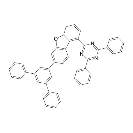 C1=CC(c2nc(-c3ccccc3)nc(-c3ccccc3)n2)=C2c3ccc(-c4cc(-c5ccccc5)cc(-c5ccccc5)c4)cc3OC2C1